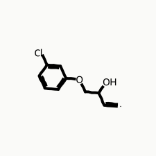 [CH]=CC(O)COc1cccc(Cl)c1